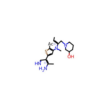 C/C=C(\CN1CCCC(O)C1)N(C)c1cc(/C(C=N)=C(\C)N)sc1C(C)=O